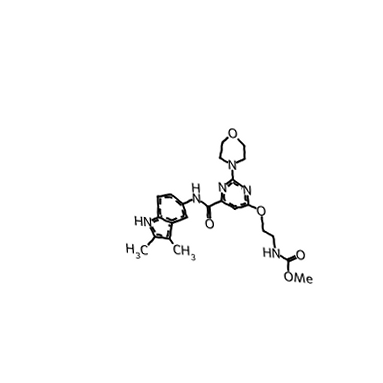 COC(=O)NCCOc1cc(C(=O)Nc2ccc3[nH]c(C)c(C)c3c2)nc(N2CCOCC2)n1